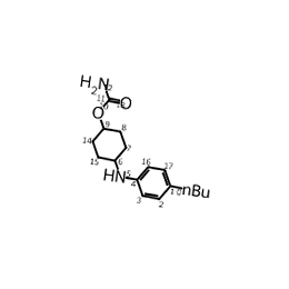 CCCCc1ccc(NC2CCC(OC(N)=O)CC2)cc1